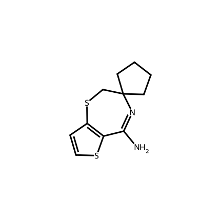 NC1=NC2(CCCC2)CSc2ccsc21